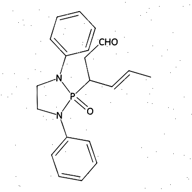 C/C=C/C(CC=O)P1(=O)N(c2ccccc2)CCN1c1ccccc1